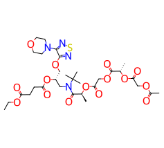 CCOC(=O)CCC(=O)O[C@H](COc1nsnc1N1CCOCC1)CN(C(=O)[C@H](C)OC(=O)COC(=O)[C@H](C)OC(=O)COC(C)=O)C(C)(C)C